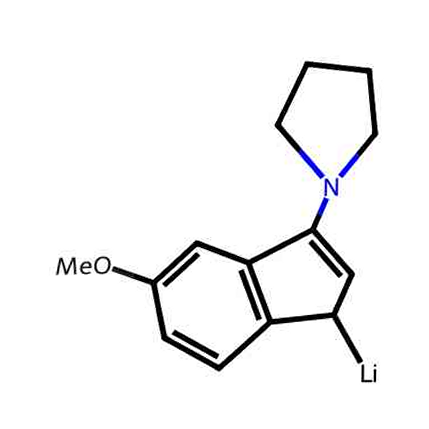 [Li][CH]1C=C(N2CCCC2)c2cc(OC)ccc21